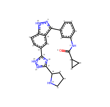 O=C(Nc1cccc(-c2n[nH]c3ccc(-c4nc(C5CCCN5)n[nH]4)cc23)c1)C1CC1